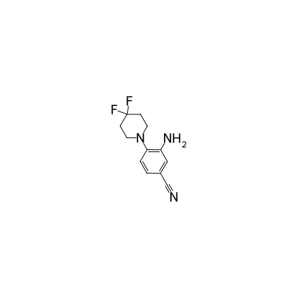 N#Cc1ccc(N2CCC(F)(F)CC2)c(N)c1